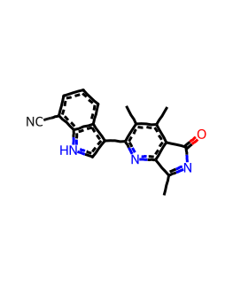 CC1=NC(=O)c2c1nc(-c1c[nH]c3c(C#N)cccc13)c(C)c2C